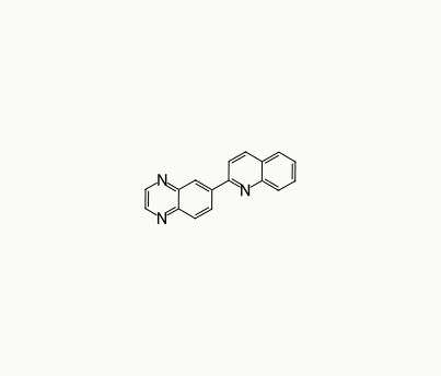 c1ccc2nc(-c3ccc4nccnc4c3)ccc2c1